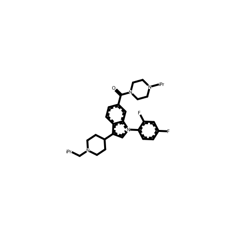 CC(C)CN1CCC(c2cn(-c3ccc(F)cc3F)c3cc(C(=O)N4CCN(C(C)C)CC4)ccc23)CC1